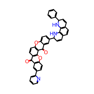 O=c1c2cc(-c3ccccn3)ccc2oc2c1ccc1oc3ccc(C4C=Cc5ccc6c(c5N4)NC(c4ccccc4)C=C6)cc3c(=O)c12